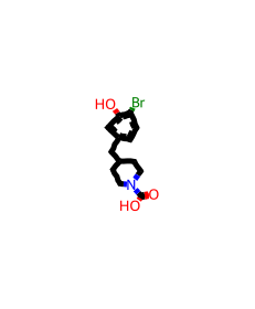 O=C(O)N1CCC(Cc2ccc(Br)c(O)c2)CC1